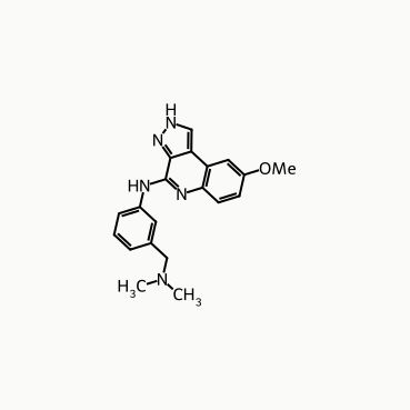 COc1ccc2nc(Nc3cccc(CN(C)C)c3)c3n[nH]cc3c2c1